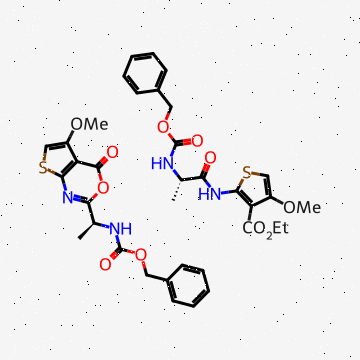 CCOC(=O)c1c(OC)csc1NC(=O)[C@H](C)NC(=O)OCc1ccccc1.COc1csc2nc([C@H](C)NC(=O)OCc3ccccc3)oc(=O)c12